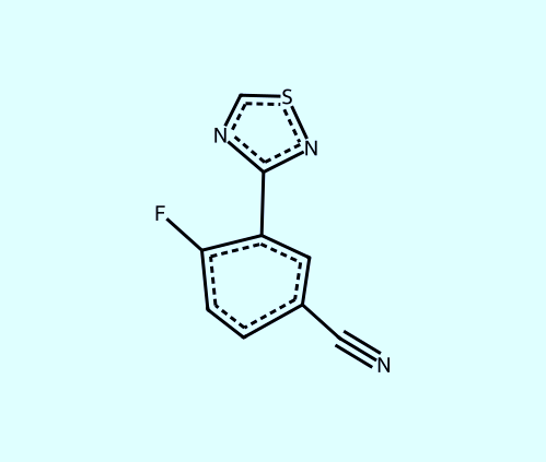 N#Cc1ccc(F)c(-c2ncsn2)c1